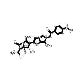 CSc1c2sc(C3=C(C(=O)[O-])N4C(=O)[C@H]([C@@H](C)O)[C@H]4[C@H]3C)c[n+]2cn1CC(=O)c1ccc(NO)cc1